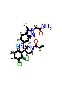 C=CC(=O)N1CC[C@@](Nc2ccc3c(C)n(CC(N)=O)nc3c2)(c2c(F)ccc(Cl)c2Cl)C1